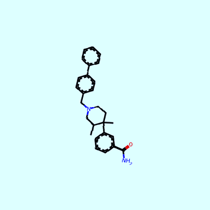 CC1CN(Cc2ccc(-c3ccccc3)cc2)CCC1(C)c1cccc(C(N)=O)c1